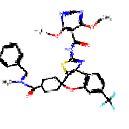 COc1ncnc(OC)c1C(=O)Nc1nc2c(s1)C1(CCC(C(=O)N(C)Cc3ccccc3)CC1)Oc1cc(C(F)(F)F)ccc1-2